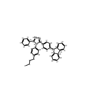 CCCCc1ccc(-n2c(-c3ccccc3)nnc2-c2ccc(-n3c4ccccc4c4ccccc43)cc2)cc1